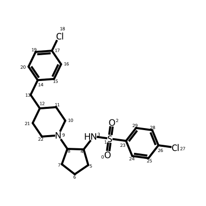 O=S(=O)(NC1CCCC1N1CCC(Cc2ccc(Cl)cc2)CC1)c1ccc(Cl)cc1